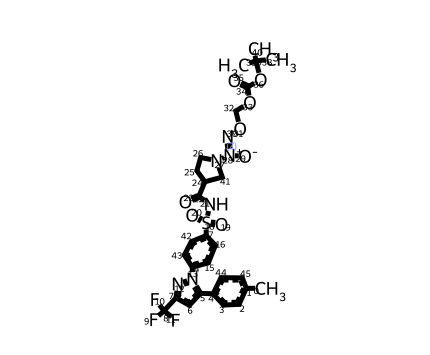 Cc1ccc(-c2cc(C(F)(F)F)nn2-c2ccc(S(=O)(=O)NC(=O)C3CCN(/[N+]([O-])=N/OCOC(=O)OC(C)(C)C)C3)cc2)cc1